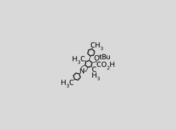 Cc1ccc(-c2c(C)c3c(c(C)c2C(OC(C)(C)C)C(=O)O)CN(c2ccc(C)cc2)C3)cc1